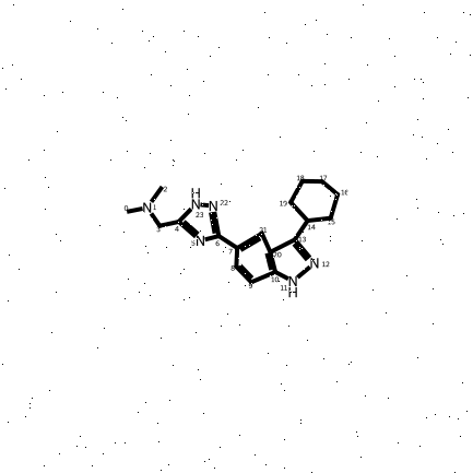 CN(C)Cc1nc(-c2ccc3[nH]nc(C4CCCCC4)c3c2)n[nH]1